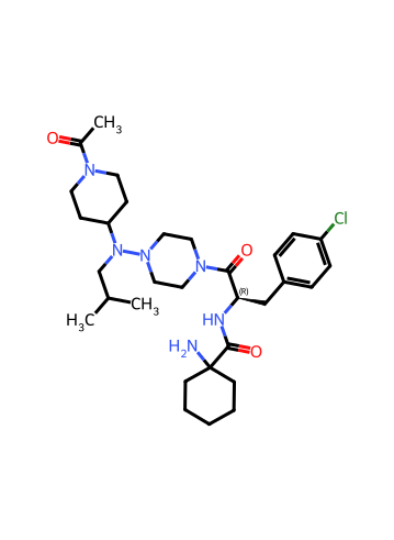 CC(=O)N1CCC(N(CC(C)C)N2CCN(C(=O)[C@@H](Cc3ccc(Cl)cc3)NC(=O)C3(N)CCCCC3)CC2)CC1